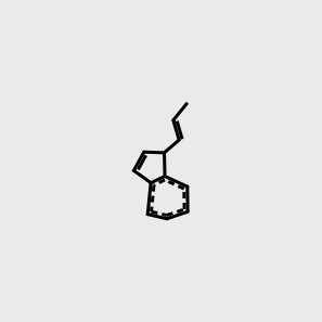 CC=CC1C=Cc2ccccc21